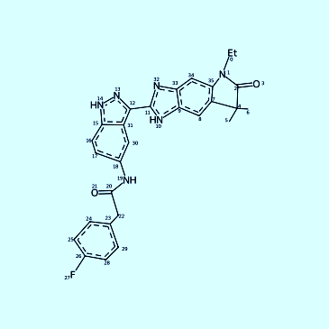 CCN1C(=O)C(C)(C)c2cc3[nH]c(-c4n[nH]c5ccc(NC(=O)Cc6ccc(F)cc6)cc45)nc3cc21